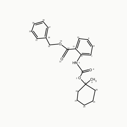 CC1(OC(=O)Nc2ccccc2C(=O)OCc2ccccc2)CCCCC1